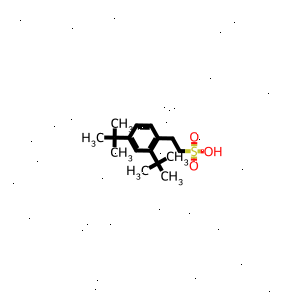 CC(C)(C)c1ccc(CCS(=O)(=O)O)c(C(C)(C)C)c1